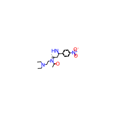 CCN(CC)CCN(C(C)=O)[C@H](C)CC(=N)c1ccc([N+](=O)[O-])cc1